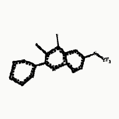 [CH2]c1c(C)c(-c2ccccc2)nc2ccc(SC(F)(F)F)cc12